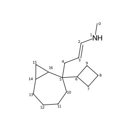 CN/C=C/CC1(C2CCC2)CCCCC2CC21